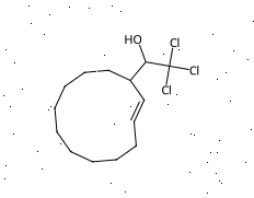 OC(C1/C=C/CCCCCCCCC1)C(Cl)(Cl)Cl